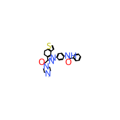 CN1CCN(C(=O)c2nn(-c3ccc(NC(=O)c4ccccc4)cc3)c3c2CCc2sccc2-3)CC1